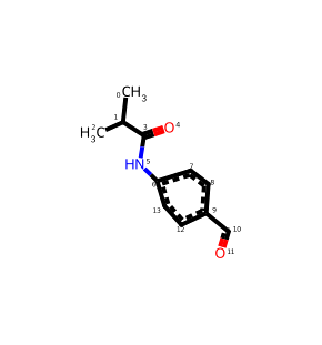 CC(C)C(=O)Nc1ccc([C]=O)cc1